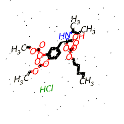 CCCCCCOC(=O)O[C@](Cc1ccc(OC(=O)OCC)c(OC(=O)OCC)c1)(NC(C)CC)C(=O)O.Cl